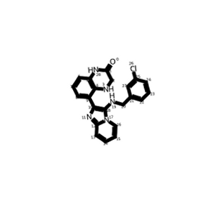 O=C1CNc2c(cccc2-c2nc3ccccn3c2NCc2cccc(Cl)c2)N1